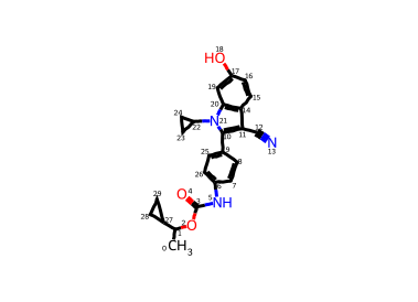 CC(OC(=O)Nc1ccc(-c2c(C#N)c3ccc(O)cc3n2C2CC2)cc1)C1CC1